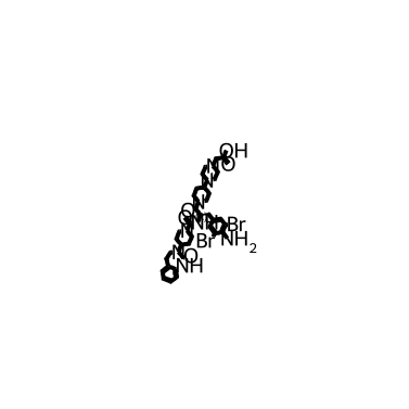 Nc1c(Br)cc(C[C@@H](NC(=O)N2CCC(N3CCc4ccccc4NC3=O)CC2)C(=O)N2CCC(N3CCN(CC(=O)O)CC3)CC2)cc1Br